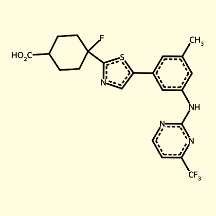 Cc1cc(Nc2nccc(C(F)(F)F)n2)cc(-c2cnc(C3(F)CCC(C(=O)O)CC3)s2)c1